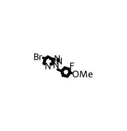 COc1ccc(Cn2nnc3cc(Br)cnc32)cc1F